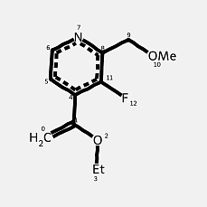 C=C(OCC)c1ccnc(COC)c1F